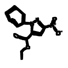 CCOC(=O)c1cc([N+](=O)[O-])nn1-c1ccccc1